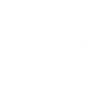 Cc1cccc(N(c2ccc(/C=C/c3ccc(-c4ccc(N(c5ccccc5)c5ccccc5)cc4)cc3)cc2)c2ccccc2C)c1